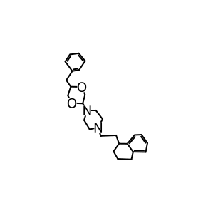 c1ccc(CC2COC(N3CCN(CCC4CCCc5ccccc54)CC3)CO2)cc1